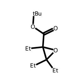 CCC1(CC)OC1(CC)C(=O)OC(C)(C)C